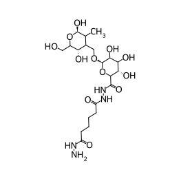 CC1C(CO[C@@H]2OC(C(=O)NNC(=O)CCCCC(=O)NN)[C@@H](O)C(O)C2O)[C@H](O)C(CO)O[C@H]1O